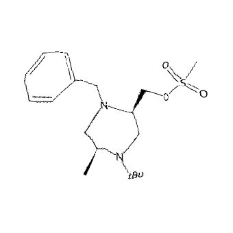 C[C@H]1CN(Cc2ccccc2)[C@@H](COS(C)(=O)=O)CN1C(C)(C)C